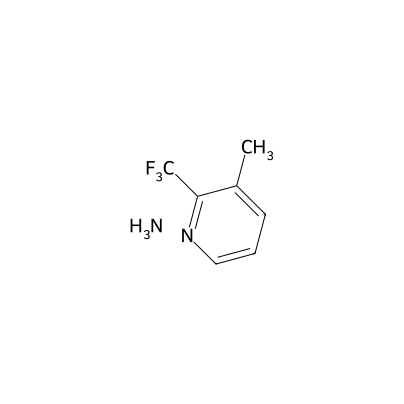 Cc1cccnc1C(F)(F)F.N